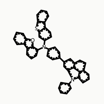 c1ccc(-n2c3cccc4ccc5cc(-c6ccc(N(c7ccc8c(c7)sc7ccccc78)c7cccc8c7oc7ccccc78)cc6)cc2c5c43)cc1